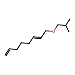 C=CCCCC=CCOCC(C)C